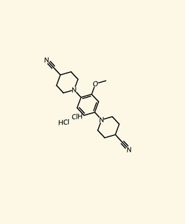 COc1cc(N2CCC(C#N)CC2)ccc1N1CCC(C#N)CC1.Cl.Cl